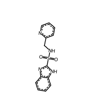 O=S(=O)(NCc1ccccn1)c1nc2ccccc2[nH]1